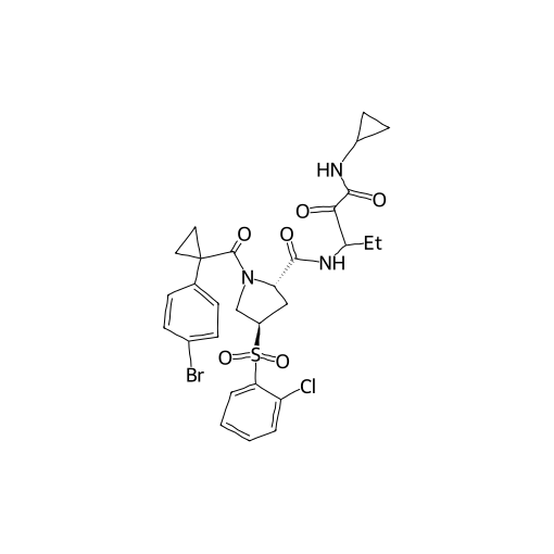 CCC(NC(=O)[C@@H]1C[C@@H](S(=O)(=O)c2ccccc2Cl)CN1C(=O)C1(c2ccc(Br)cc2)CC1)C(=O)C(=O)NC1CC1